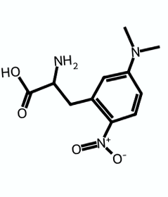 CN(C)c1ccc([N+](=O)[O-])c(CC(N)C(=O)O)c1